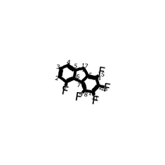 Fc1cccc2c1-c1c(F)c(F)c(F)c(F)c1[CH]2